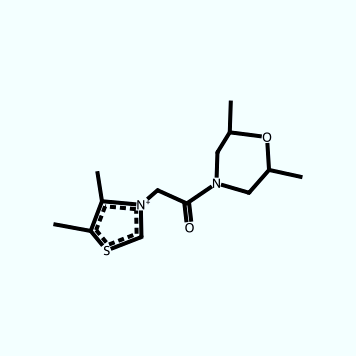 Cc1sc[n+](CC(=O)N2CC(C)OC(C)C2)c1C